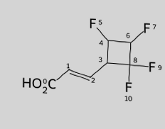 O=C(O)C=CC1C(F)C(F)C1(F)F